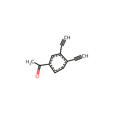 C#Cc1ccc(C(C)=O)cc1C#C